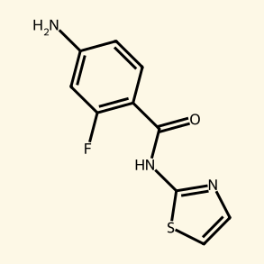 Nc1ccc(C(=O)Nc2nccs2)c(F)c1